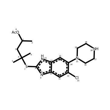 CC(=O)OC(C)CC(C)(C)Sc1nc2cc(Cl)c(N3CCNCC3)cc2[nH]1